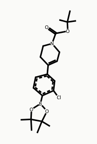 CC(C)(C)OC(=O)N1CC=C(c2ccc(B3OC(C)(C)C(C)(C)O3)c(Cl)c2)CC1